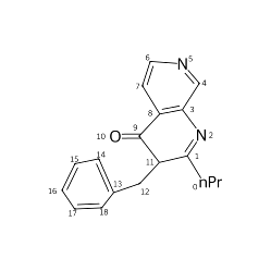 CCCC1=Nc2cnccc2C(=O)C1Cc1ccccc1